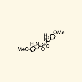 COc1ccc(C[C@H](N)C(=O)[N]C(=O)[C@@H](N)Cc2ccc(OC)cc2)cc1